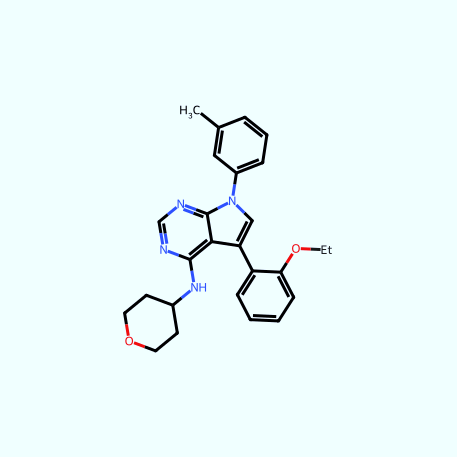 CCOc1ccccc1-c1cn(-c2cccc(C)c2)c2ncnc(NC3CCOCC3)c12